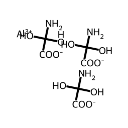 NC(O)(O)C(=O)[O-].NC(O)(O)C(=O)[O-].NC(O)(O)C(=O)[O-].[Al+3]